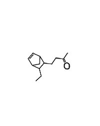 CCC1C2C=CC(C2)C1CCC(C)=O